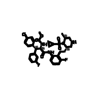 COC(=O)N[C@H](C(=O)Nc1cccc(F)c1CC[C@H]1CNC[C@H](C)N1S(=O)(=O)C1CC1)[C@@H](c1ccc(Cl)cc1)c1cccc(F)c1